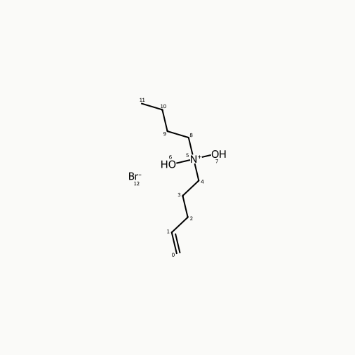 C=CCCC[N+](O)(O)CCCC.[Br-]